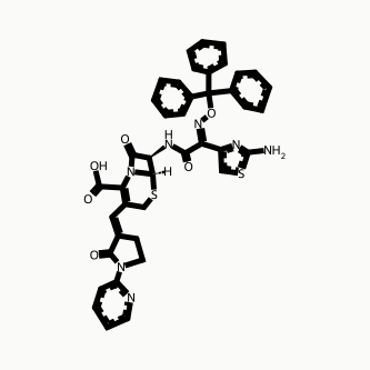 Nc1nc(C(=NOC(c2ccccc2)(c2ccccc2)c2ccccc2)C(=O)N[C@@H]2C(=O)N3C(C(=O)O)=C(C=C4CCN(c5ccccn5)C4=O)CS[C@H]23)cs1